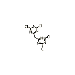 Clc1nc(Cl)nc(Cc2nc(Cl)nc(Cl)n2)n1